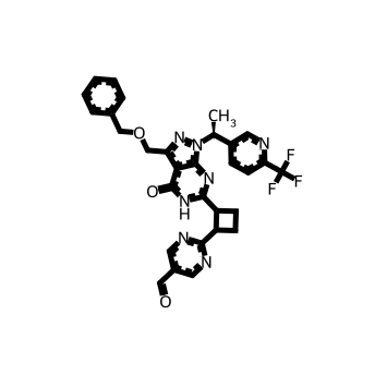 C[C@@H](c1ccc(C(F)(F)F)nc1)n1nc(COCc2ccccc2)c2c(=O)[nH]c(C3CCC3c3ncc(C=O)cn3)nc21